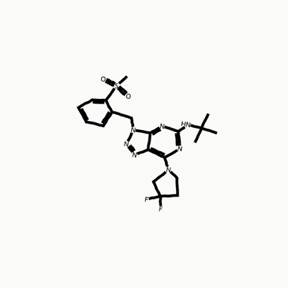 CC(C)(C)Nc1nc(N2CCC(F)(F)C2)c2nnn(Cc3ccccc3S(C)(=O)=O)c2n1